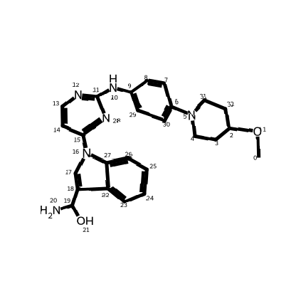 COC1CCN(c2ccc(Nc3nccc(-n4cc(C(N)O)c5ccccc54)n3)cc2)CC1